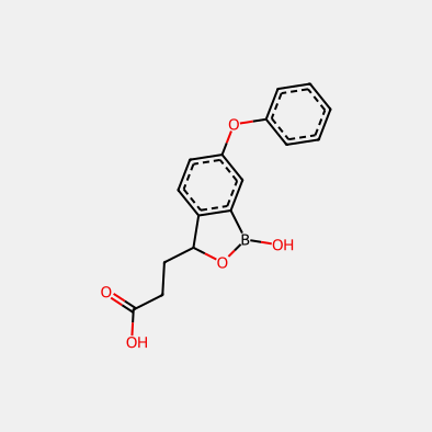 O=C(O)CCC1OB(O)c2cc(Oc3ccccc3)ccc21